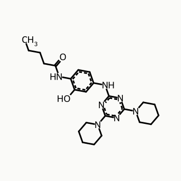 CCCCC(=O)Nc1ccc(Nc2nc(N3CCCCC3)nc(N3CCCCC3)n2)cc1O